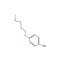 CC(C)(C)c1ccc(OCCCCI)cc1